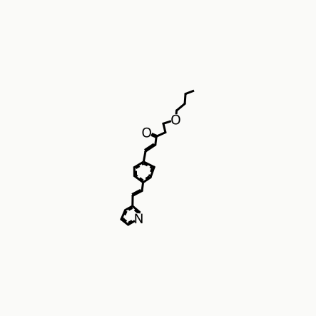 CCCCOCCC(=O)C=Cc1ccc(C=Cc2cccnc2)cc1